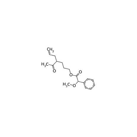 C=CCC(CCCOC(=O)C(OC)c1ccccc1)C(C)=O